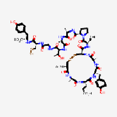 CC(=O)N[C@H]1CSSC[C@@H](C(=O)N[C@@H](CC=O)C(=O)N2CCC[C@H]2C(=O)N[C@@H](C)C(=O)N[C@@H](C)C(=O)N[C@H](C(=O)NCC(=O)N[C@@H](CSS)C(=O)N[C@@H](Cc2ccc(O)cc2)C(=O)O)[C@H](C)O)NC(=O)[C@H](C)NC(=O)[C@H](Cc2ccc(O)cc2)NC(=O)[C@H](CCC(=O)O)NC(=O)[C@H](C)NC1=O